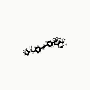 CC(CO)(Cc1nc[nH]c(=O)c1O)c1ccc(C#Cc2ccc(CN[C@H]3CCOC3)cc2)cc1